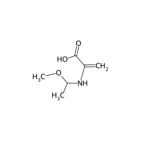 C=C(NC(C)OC)C(=O)O